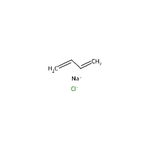 C=CC=C.[Cl-].[Na+]